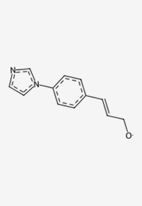 [O]CC=Cc1ccc(-n2ccnc2)cc1